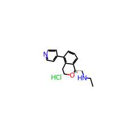 CCNC[C@@H]1OCCc2c(-c3ccncc3)cccc21.Cl